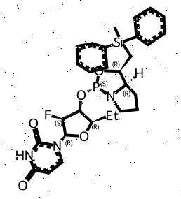 CC[C@H]1O[C@@H](n2ccc(=O)[nH]c2=O)[C@@H](F)C1O[P@]1O[C@@H](C[Si](C)(c2ccccc2)c2ccccc2)[C@H]2CCCN21